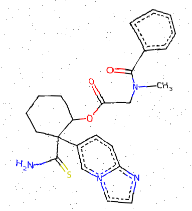 CN(CC(=O)OC1CCCCC1(C(N)=S)c1ccc2nccn2c1)C(=O)c1ccccc1